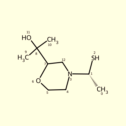 C[C@@H](S)N1CCOC(C(C)(C)O)C1